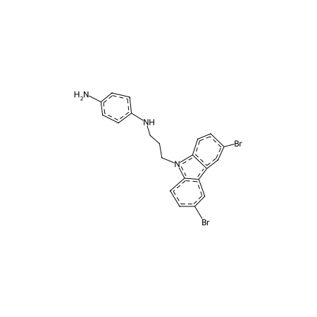 Nc1ccc(NCCCn2c3ccc(Br)cc3c3cc(Br)ccc32)cc1